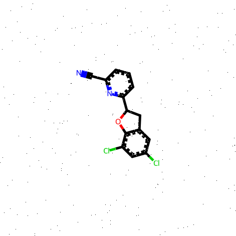 N#Cc1cccc(C2Cc3cc(Cl)cc(Cl)c3O2)n1